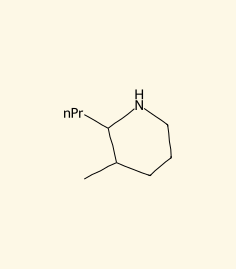 CCCC1NCCCC1C